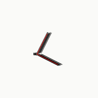 Cl.Cl.Cl.Cl.Cl.[Zn+2].[Zn+2].[Zn+2].[Zn+2].[Zn+2].[Zn+2].[Zn+2].[Zn+2].[Zn+2].[Zn+2].[Zn+2].[Zn+2].[Zn+2].[Zn+2].[Zn+2].[Zn+2].[Zn+2].[Zn+2].[Zn+2].[Zn+2].[Zn+2].[Zn+2].[Zn+2].[Zn+2].[Zn+2].[Zn+2].[Zn+2].[Zn+2].[Zn+2].[Zn+2].[Zn+2].[Zn+2].[Zn+2].[Zn+2].[Zn+2].[Zn+2].[Zn+2].[Zn+2].[Zn+2].[Zn+2].[Zn+2].[Zn+2].[Zn+2].[Zn+2].[Zn+2].[Zn+2].[Zn+2].[Zn+2].[Zn+2].[Zn+2].[Zn+2].[Zn+2].[Zn+2].[Zn+2].[Zn+2].[Zn+2].[Zn+2].[Zn+2].[Zn+2].[Zn+2].[Zn+2].[Zn+2].[Zn+2].[Zn+2].[Zn+2].[Zn+2].[Zn+2].[Zn+2].[Zn+2].[Zn+2].[Zn+2].[Zn+2].[Zn+2].[Zn+2].[Zn+2].[Zn+2].[Zn+2].[Zn+2].[Zn+2].[Zn+2].[Zn+2].[Zn+2].[Zn+2].[Zn+2].[Zn+2].[Zn+2].[Zn+2].[Zn+2].[Zn+2].[Zn+2].[Zn+2].[Zn+2].[Zn+2].[Zn+2].[Zn+2].[Zn+2].[Zn+2].[Zn+2].[Zn+2]